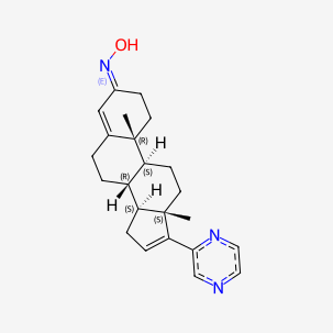 C[C@]12CC/C(=N\O)C=C1CC[C@@H]1[C@@H]2CC[C@]2(C)C(c3cnccn3)=CC[C@@H]12